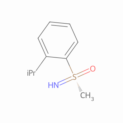 CC(C)c1ccccc1[S@](C)(=N)=O